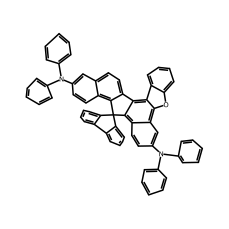 c1ccc(N(c2ccccc2)c2ccc3c4c(ccc3c2)-c2c(c3ccc(N(c5ccccc5)c5ccccc5)cc3c3oc5ccccc5c23)C42c3ccccc3-c3ccccc32)cc1